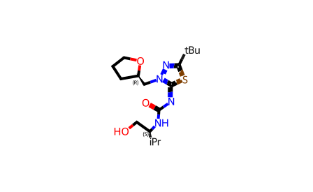 CC(C)[C@@H](CO)NC(=O)N=c1sc(C(C)(C)C)nn1C[C@H]1CCCO1